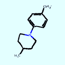 [CH2]c1ccc(N2CCC(C)CC2)cc1